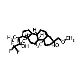 COC[C@]1(O)CC[C@@]2(C)C(=CC[C@H]3[C@@H]4CC[C@H]([C@H](C)C(O)C(F)(F)F)[C@@]4(C)CC[C@@H]32)C1